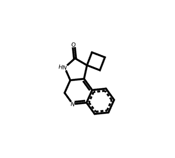 O=C1NC2CN=c3ccccc3=C2C12CCC2